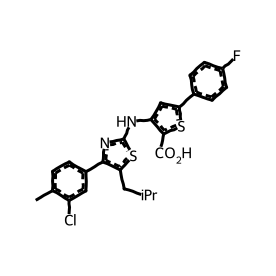 Cc1ccc(-c2nc(Nc3cc(-c4ccc(F)cc4)sc3C(=O)O)sc2CC(C)C)cc1Cl